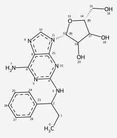 CCC(Nc1nc(N)c2ncn([C@@H]3O[C@H](CO)C(O)C3O)c2n1)c1ccccc1